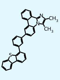 Cc1nc2c3ccccc3c3cc(-c4cccc(-c5cccc6c5sc5ccccc56)c4)ccc3n2c1C